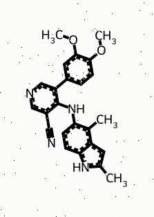 COc1ccc(-c2cncc(C#N)c2Nc2ccc3[nH]c(C)cc3c2C)cc1OC